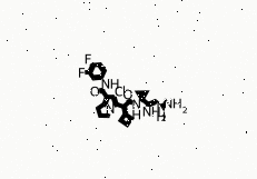 NN/C=C(\N)C1(NC(=O)C(=C2CCC2)c2c(Cl)c(C(=O)Nc3ccc(F)c(F)c3)c3n2CCC3)CC1